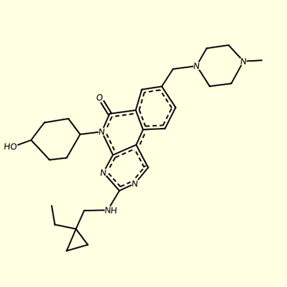 CCC1(CNc2ncc3c4ccc(CN5CCN(C)CC5)cc4c(=O)n(C4CCC(O)CC4)c3n2)CC1